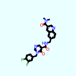 CN(C)C(=O)c1cnc2ccc(CNC(=O)c3cncn(Cc4ccc(F)c(F)c4)c3=O)cc2c1